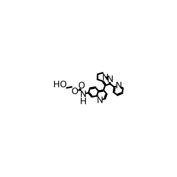 O=C(Nc1ccc2c(-c3c(-c4ccccn4)nn4c3CCC4)ccnc2c1)OCCO